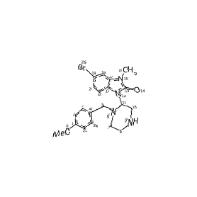 COc1ccc(CN2CCNCC2n2c(=O)n(C)c3cc(Br)ccc32)cc1